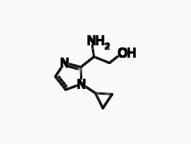 NC(CO)c1nccn1C1CC1